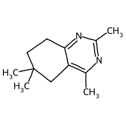 Cc1nc(C)c2c(n1)CCC(C)(C)C2